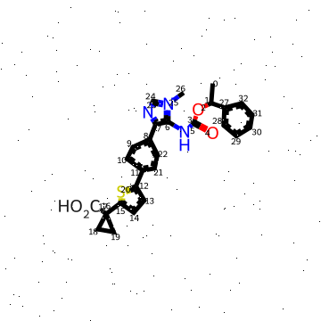 CC(OC(=O)Nc1c(-c2ccc(-c3ccc(C4(C(=O)O)CC4)s3)cc2)ncn1C)c1ccccc1